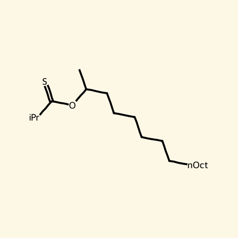 CCCCCCCCCCCCCCC(C)OC(=S)C(C)C